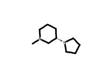 CN1CCC[C@H](N2CCCC2)C1